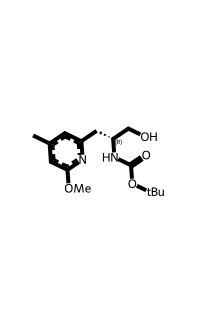 COc1cc(C)cc(C[C@H](CO)NC(=O)OC(C)(C)C)n1